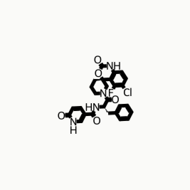 O=C1Nc2ccc(Cl)c(F)c2[C@@]2(CCCN(C(=O)[C@H](Cc3ccccc3)NC(=O)c3ccc(=O)[nH]c3)C2)O1